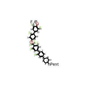 CCCCCC1CCC(c2ccc(-c3cc(F)c(C(F)(F)Oc4ccc(-c5cc(F)c(OC(F)(F)F)c(F)c5)c(F)c4)c(F)c3)c(F)c2)CC1